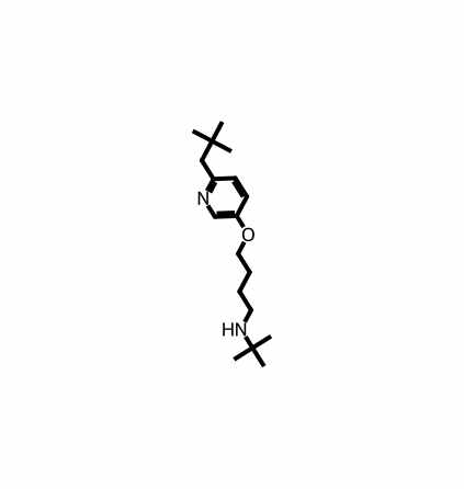 CC(C)(C)Cc1ccc(OCCCCNC(C)(C)C)cn1